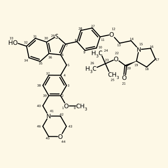 COc1cc(Cc2c(-c3ccc(OCCN4CCC[C@H]4C(=O)OC(C)(C)C)cc3)sc3cc(O)ccc23)ccc1CN1CCOCC1